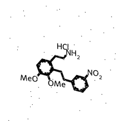 COc1ccc(CCN)c(CCc2cccc([N+](=O)[O-])c2)c1OC.Cl